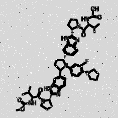 COC(=O)N[C@H](C(=O)N1CCC[C@H]1c1nc2ccc(C3CC[C@H](c4ccc5nc([C@@H]6CCCN6C(=O)[C@@H](NC(=O)O)C(C)C)[nH]c5c4)N3c3ccc(N4CCCC4)c(F)c3)cc2[nH]1)C(C)C